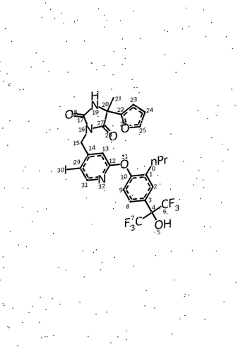 CCCc1cc(C(O)(C(F)(F)F)C(F)(F)F)ccc1Oc1cc(CN2C(=O)NC(C)(c3ccco3)C2=O)c(I)cn1